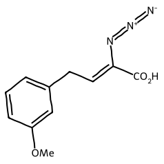 COc1cccc(CC=C(N=[N+]=[N-])C(=O)O)c1